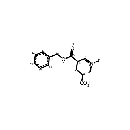 C[N+](C)=CC(CCC(=O)O)C(=O)OCc1ccccc1